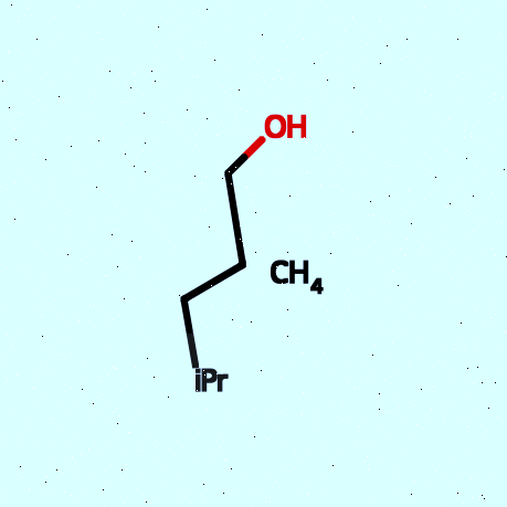 C.CC(C)CCCO